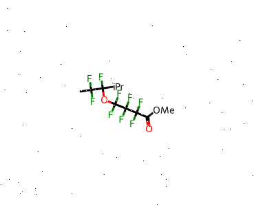 COC(=O)C(F)(F)C(F)(F)C(F)(F)OC(F)(C(C)C)C(C)(F)F